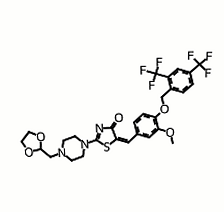 COc1cc(C=C2SC(N3CCN(CC4OCCO4)CC3)=NC2=O)ccc1OCc1ccc(C(F)(F)F)cc1C(F)(F)F